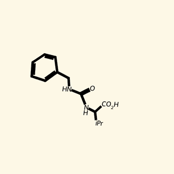 CC(C)C(NC(=O)NCc1ccccc1)C(=O)O